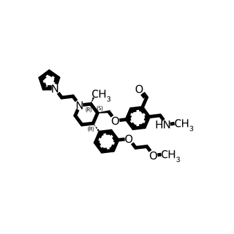 CNCc1ccc(OC[C@@H]2[C@@H](C)N(CCn3cccc3)CC[C@H]2c2cccc(OCCOC)c2)cc1C=O